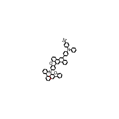 C[Si](C)(C)c1ccc(N(c2ccccc2)c2ccc(-c3cc4c5cccc6c5c(cc4c4ccccc34)-c3ccc(N(c4ccccc4-c4ccccc4)c4cccc5c4oc4ccccc45)cc3O6)cc2)cc1